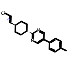 Cc1ccc(-c2cnc([C@H]3CC[C@H](/C=C/Cl)CC3)nc2)cc1